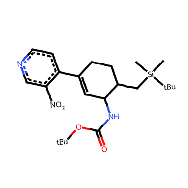 CC(C)(C)OC(=O)NC1C=C(c2ccncc2[N+](=O)[O-])CCC1C[Si](C)(C)C(C)(C)C